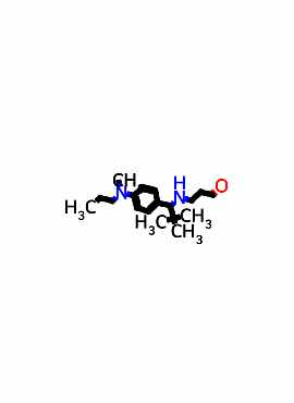 CCCN(C)c1ccc(C(NCCC=O)C(C)(C)C)cc1